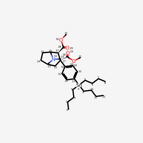 CCC[CH2][Sn]([CH2]CCC)([CH2]CCC)[c]1ccc([C@@]2(C(=O)OC)CC3CCC([C@H]2C(=O)OC)N3C)cc1